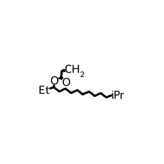 C=CC(=O)OC(CC)CCCCCCCCCC(C)C